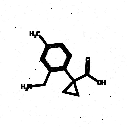 Cc1ccc(C2(C(=O)O)CC2)c(CN)c1